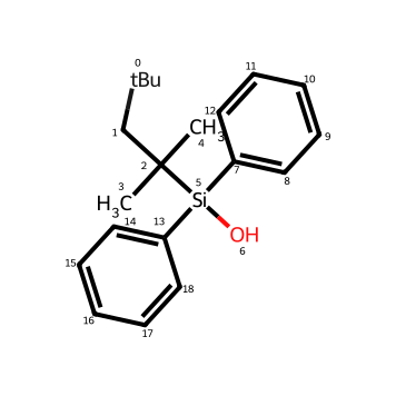 CC(C)(C)CC(C)(C)[Si](O)(c1ccccc1)c1ccccc1